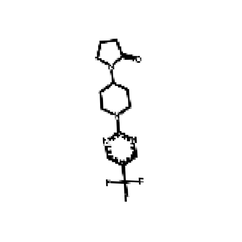 O=C1[CH]CCN1C1CCN(c2ncc(C(F)(F)F)cn2)CC1